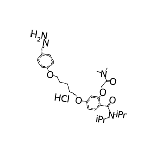 CC(C)N(C(=O)c1ccc(OCCCCCOc2ccc(C=NN)cc2)cc1OCC(=O)N(C)C)C(C)C.Cl